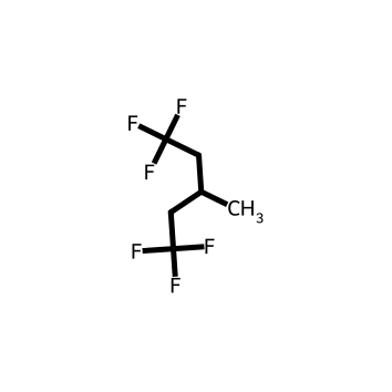 CC(CC(F)(F)F)CC(F)(F)F